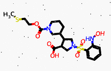 CSCCOC(=O)N1CCCC(C2CN(S(=O)(=O)c3ccccc3NO)CC2C(=O)O)C1